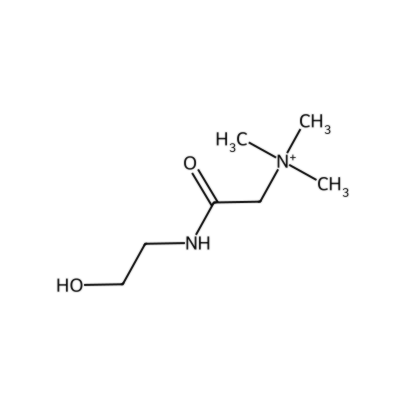 C[N+](C)(C)CC(=O)NCCO